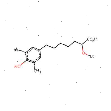 CCOC(CCCCCc1cc(C)c(O)c(C(C)(C)C)c1)C(=O)O